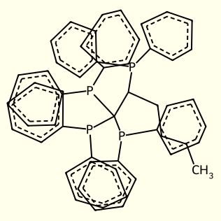 CCCCC(P(c1ccccc1)c1ccccc1)C(P(c1ccccc1)c1ccccc1)(P(c1ccccc1)c1ccccc1)P(c1ccccc1)c1ccccc1